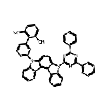 N#Cc1cccc(C#N)c1-c1cccc(-n2c3ccccc3c3c4c5ccccc5n(-c5nc(-c6ccccc6)nc(-c6ccccc6)n5)c4ccc32)c1